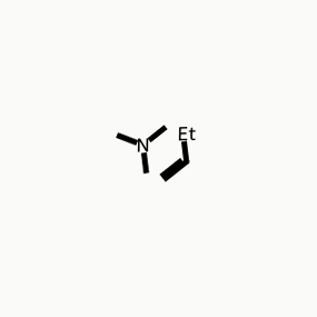 C=CCC.CN(C)C